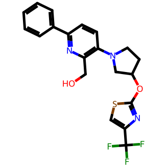 OCc1nc(-c2ccccc2)ccc1N1CCC(Oc2nc(C(F)(F)F)cs2)C1